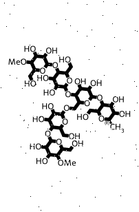 COC1C(CO)OC(OC2C(CO)OC(OCC3OC(OC4C(CO)O[C@H](C)C(O)C4O)C(O)C(O)C3OC3OC(CO)C(OC4OC(CO)C(OC)C(O)C4O)C(O)C3O)C(O)C2O)C(O)C1O